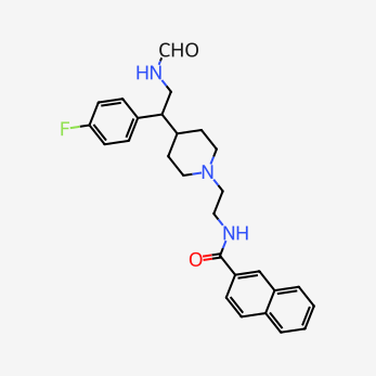 O=CNCC(c1ccc(F)cc1)C1CCN(CCNC(=O)c2ccc3ccccc3c2)CC1